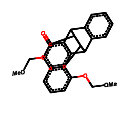 COCOC(=O)C1C2c3ccccc3C(c3ccccc32)C1c1ccccc1OCOC